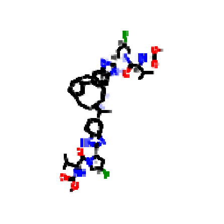 COC(=O)N[C@H](C(=O)N1C[C@H](F)C[C@H]1c1nc2cc(/C(C)=C3/C=C\[C@H](C)CCc4ccc(cc4-c4ccc5[nH]c([C@@H]6C[C@@H](F)CN6C(=O)[C@@H](NC(=O)OC)C(C)C)nc5c4)CC3)ccc2[nH]1)C(C)C